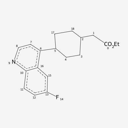 CCOC(=O)CC1CCC(c2ccnc3ccc(F)cc23)CC1